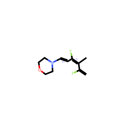 C=C(F)/C(C)=C(F)\C=C\N1CCOCC1